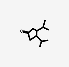 CC(C)C1CC(=O)CC1C(C)C